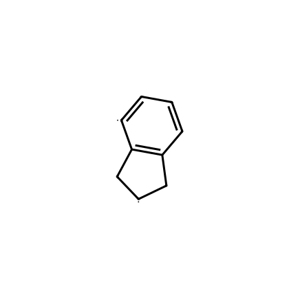 [c]1cccc2c1C[CH]C2